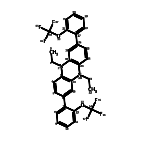 CCN1c2ccc(-c3ccccc3OC(F)(F)F)cc2N(CC)c2ccc(-c3ccccc3OC(F)(F)F)cc21